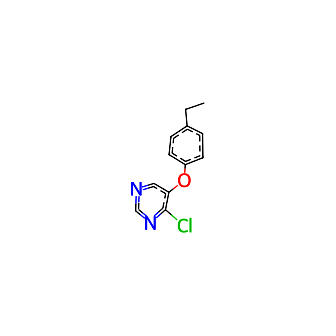 CCc1ccc(Oc2cncnc2Cl)cc1